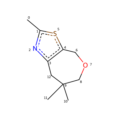 Cc1nc2c(s1)COCC(C)(C)C2